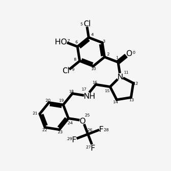 O=C(c1cc(Cl)c(O)c(Cl)c1)N1CCCC1CNCc1ccccc1OC(F)(F)F